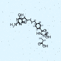 Nc1nc(O)c2cc(CCCc3ccc(C(=O)N[C@@H](CCC(=O)O)C(=O)O)cc3)oc2n1